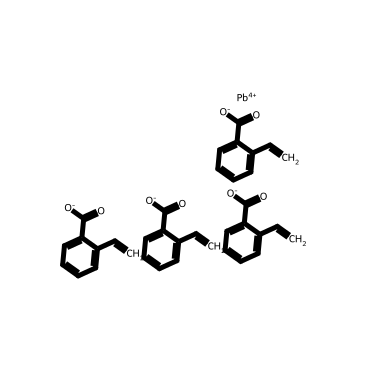 C=Cc1ccccc1C(=O)[O-].C=Cc1ccccc1C(=O)[O-].C=Cc1ccccc1C(=O)[O-].C=Cc1ccccc1C(=O)[O-].[Pb+4]